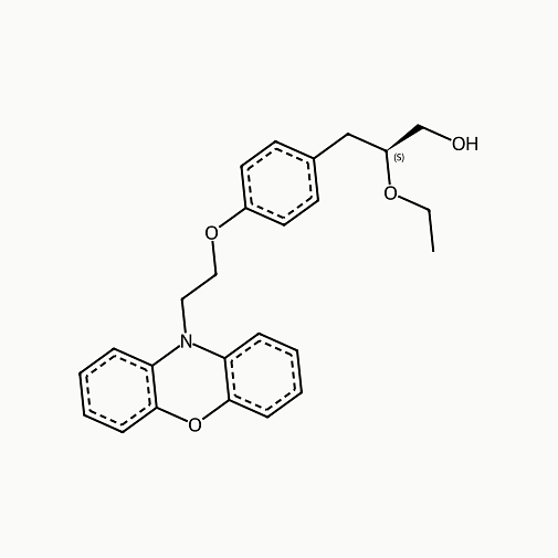 CCO[C@H](CO)Cc1ccc(OCCN2c3ccccc3Oc3ccccc32)cc1